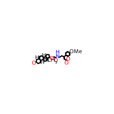 COc1ccc2c(CCNC(=O)CO[C@H]3CC[C@H]4[C@@H]5CC[C@H]6CC(=O)CC[C@]6(C)[C@H]5CC[C@]34C)cc(=O)oc2c1